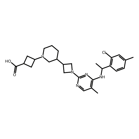 Cc1ccc(C(C)Nc2nc(N3CC(C4CCCN(C5CC(C(=O)O)C5)C4)C3)ncc2C)c(Cl)c1